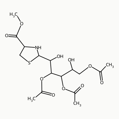 COC(=O)C1CSC(C(O)C(OC(C)=O)C(OC(C)=O)C(O)COC(C)=O)N1